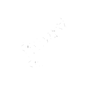 O=C(NC1CCN(C(COc2cccc(F)c2F)c2ccccc2)CC1)c1cnc(-c2cccc(F)c2)nc1